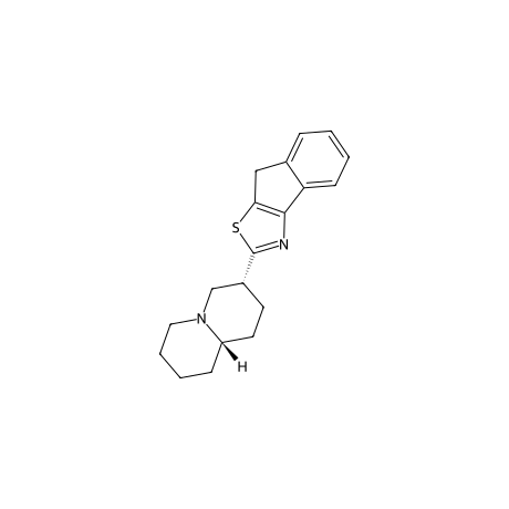 c1ccc2c(c1)Cc1sc([C@@H]3CC[C@@H]4CCCCN4C3)nc1-2